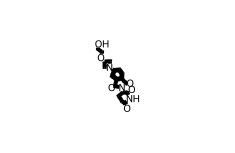 O=C1CCC(N2C(=O)c3ccc(N4CC(OCCO)C4)cc3C2=O)C(=O)N1